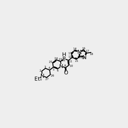 CCN1CCC(C2=CN3C(=O)C=C(c4ccn5cc(C)nc5c4)PC3C=C2)CC1